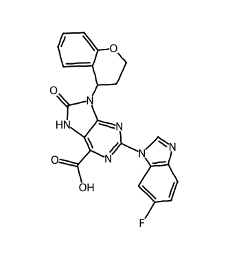 O=C(O)c1nc(-n2cnc3ccc(F)cc32)nc2c1[nH]c(=O)n2C1CCOc2ccccc21